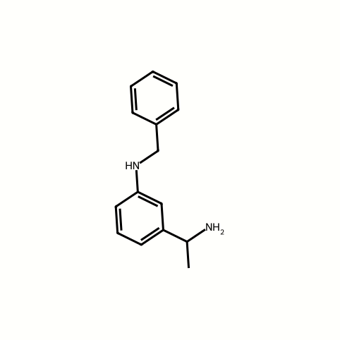 CC(N)c1cccc(NCc2ccccc2)c1